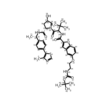 Cc1ncsc1-c1ccc([C@H](C)NC(=O)[C@@H]2C[C@@H](O)CN2C(=O)C(NC(=O)c2cc3cc(OCCNC(=O)OC(C)(C)C)ccc3o2)C(C)(C)C)cc1